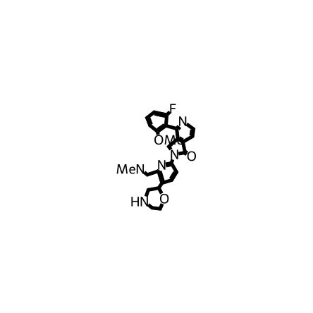 CNCc1nc(N2Cc3c(ccnc3-c3c(F)cccc3OC)C2=O)ccc1C1CNCCO1